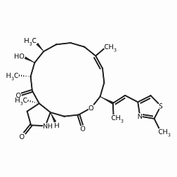 C/C1=C/C[C@@H](/C(C)=C/c2csc(C)n2)OC(=O)C[C@@H]2NC(=O)C[C@@]2(C)C(=O)[C@H](C)[C@@H](O)[C@@H](C)CCC1